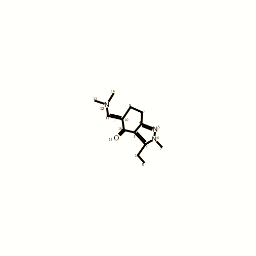 CCc1c2c(nn1C)CC/C(=C\N(C)C)C2=O